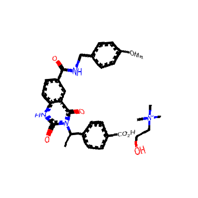 COc1ccc(CNC(=O)c2ccc3[nH]c(=O)n(C(C)c4ccc(C(=O)O)cc4)c(=O)c3c2)cc1.C[N+](C)(C)CCO